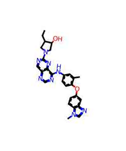 CCC1CN(c2ncc3ncnc(Nc4ccc(Oc5ccc6c(c5)ncn6C)c(C)c4)c3n2)CC1O